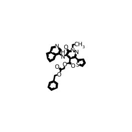 CCn1nc(-c2cccs2)c(C(=O)OCC(=O)OCc2ccccc2)c(Nc2cncc3ccccc23)c1=O